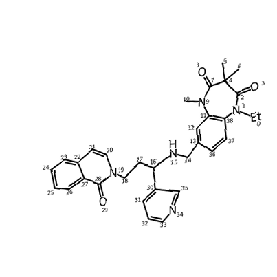 CCN1C(=O)C(C)(C)C(=O)N(C)c2cc(CNC(CCn3ccc4ccccc4c3=O)c3cccnc3)ccc21